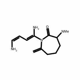 C=C1CCCC(NC)C(=O)N1/C(N)=C/C=C\N